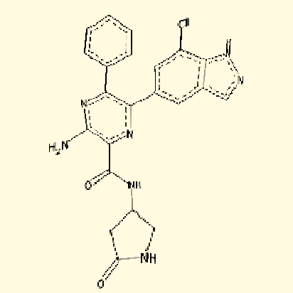 Nc1nc(-c2ccccc2)c(-c2cc(Cl)c3[nH]ncc3c2)nc1C(=O)NC1CNC(=O)C1